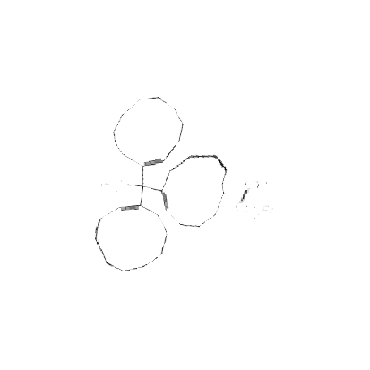 CCOC(C)=O.O=C(O)C(C1=CCCCCCCCC1)(C1=CCCCCCCCC1)C1=CCCCCCCCC1